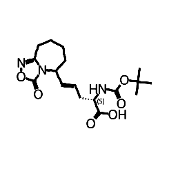 CC(C)(C)OC(=O)N[C@@H](CC=CC1CCCCc2noc(=O)n21)C(=O)O